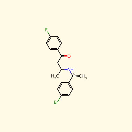 CC(CC(=O)c1ccc(F)cc1)N[C@@H](C)c1ccc(Br)cc1